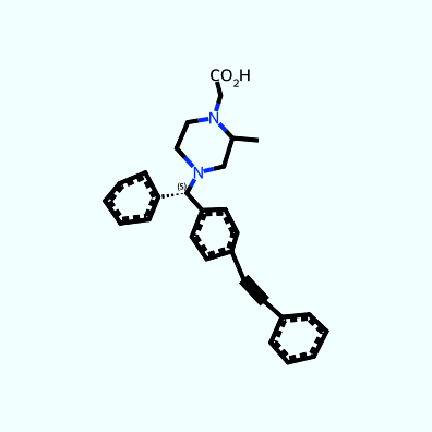 CC1CN([C@@H](c2ccccc2)c2ccc(C#Cc3ccccc3)cc2)CCN1CC(=O)O